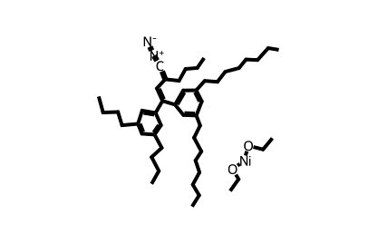 CCCCCCCCc1cc(CCCCCCCC)cc(C(=CC(=C=[N+]=[N-])CCCC)c2cc(CCCC)cc(CCCC)c2)c1.CC[O][Ni][O]CC